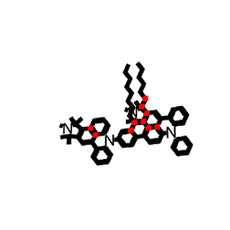 CCCCCCCCc1c(CCCCCCCC)c2cc(N(c3ccccc3)c3ccccc3-c3ccc4c(c3)C(C)(C)N(C)C4(C)C)ccc2c2ccc(N(c3ccccc3)c3ccccc3-c3ccc4c(c3)C(C)(C)N(C)C4(C)C)cc12